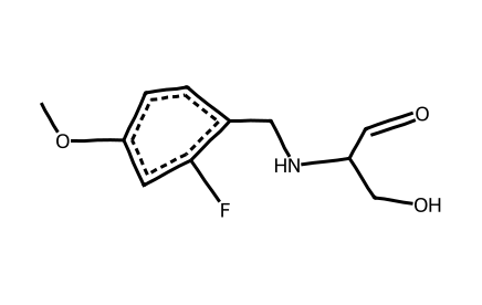 COc1ccc(CNC(C=O)CO)c(F)c1